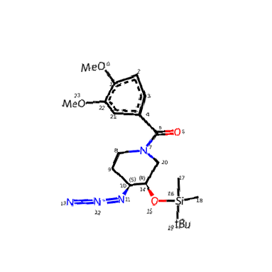 COc1ccc(C(=O)N2CC[C@H](N=[N+]=[N-])[C@H](O[Si](C)(C)C(C)(C)C)C2)cc1OC